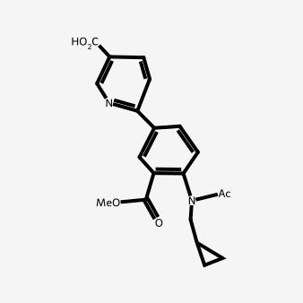 COC(=O)c1cc(-c2ccc(C(=O)O)cn2)ccc1N(CC1CC1)C(C)=O